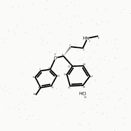 CNCC[C@@H](Oc1ccc(C)cc1)c1ccccc1.Cl